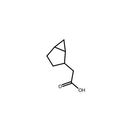 O=C(O)CC1CCC2CC12